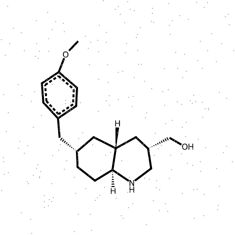 COc1ccc(C[C@H]2CC[C@@H]3NC[C@@H](CO)C[C@H]3C2)cc1